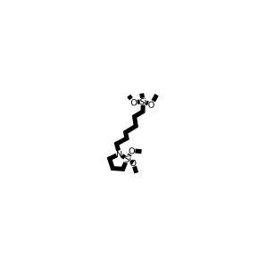 CO[Si](C)(CCCCCCN1CCC[Si]1(OC)OC)OC